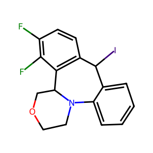 Fc1ccc2c(c1F)C1COCCN1c1ccccc1C2I